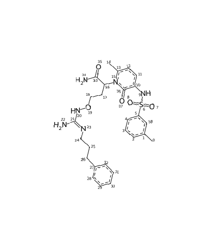 Cc1cccc(S(=O)(=O)Nc2ccc(C)n(C(CCONC(N)=NCCCc3ccccc3)C(N)=O)c2=O)c1